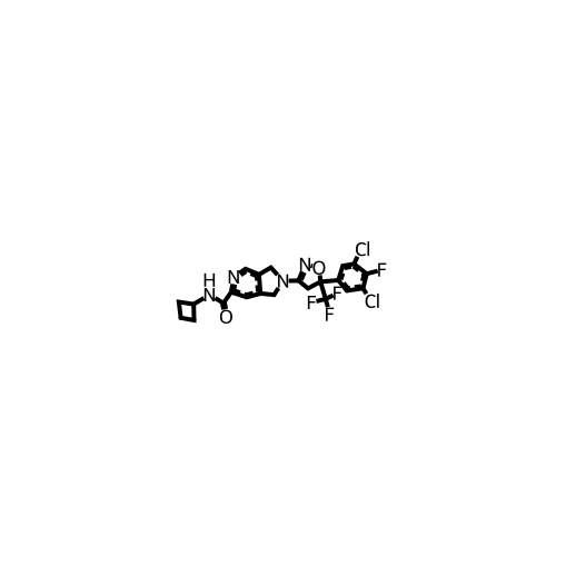 O=C(NC1CCC1)c1cc2c(cn1)CN(C1=NOC(c3cc(Cl)c(F)c(Cl)c3)(C(F)(F)F)C1)C2